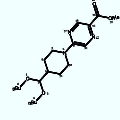 CCCCOC(OCCCC)C1CCN(c2cnc(C(=O)OC)cn2)CC1